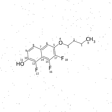 CCCCOc1cc2ccc(O)c(F)c2c(F)c1F